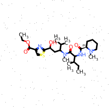 CCOC(=O)c1csc(C(O)CC(C(C)C)N(C)C(=O)C(NC(=O)[C@H]2CCCCN2C)C(C)CC)n1